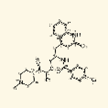 CCC(OCC(Cc1cc(=O)[nH]c2ccccc12)NC(=O)c1ccc(Cl)cc1)C(=O)N1CCN(C)CC1